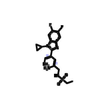 CCS(=O)(=O)NC/C(N)=C/C(=C\N)c1nc2cc(F)c(F)cc2n1C1CC1